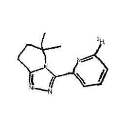 [2H]c1cccc(-c2nnc3n2C(C)(C)CC3)n1